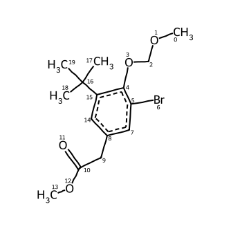 COCOc1c(Br)cc(CC(=O)OC)cc1C(C)(C)C